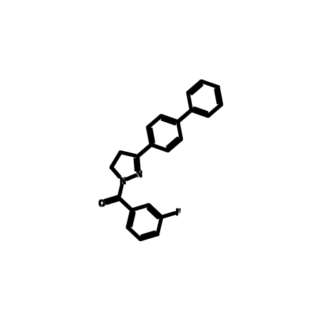 O=C(c1cccc(F)c1)N1CCC(c2ccc(-c3ccccc3)cc2)=N1